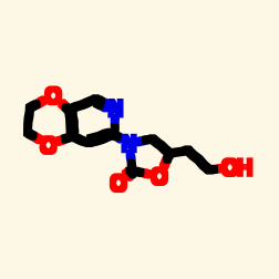 O=C1OC(CCO)CN1c1cc2c(cn1)OCCO2